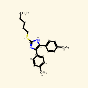 CCOC(=O)CCCCSc1nc(-c2ccc(OC)cc2)c(-c2ccc(OC)cc2)[nH]1